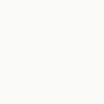 Oc1cccc2c(O)c3cc4ccccc4cc3cc12